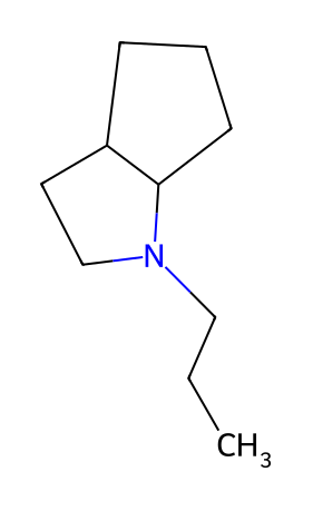 CCCN1CCC2CCCC21